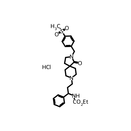 CCOC(=O)NC(CCN1CCC2(CC1)CCN(Cc1ccc(S(C)(=O)=O)cc1)C2=O)c1ccccc1.Cl